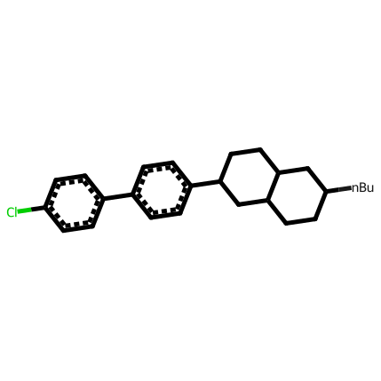 CCCCC1CCC2CC(c3ccc(-c4ccc(Cl)cc4)cc3)CCC2C1